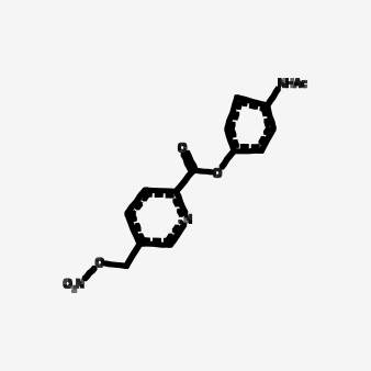 CC(=O)Nc1ccc(OC(=O)c2ccc(CO[N+](=O)[O-])cn2)cc1